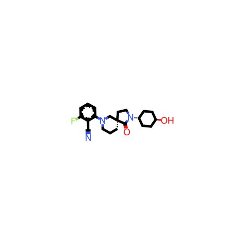 N#Cc1c(F)cccc1N1CCC[C@@]2(CCN([C@H]3CC[C@H](O)CC3)C2=O)C1